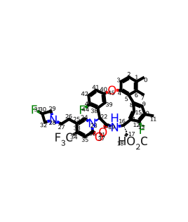 Cc1ccc2c(c1C)-c1cc(C)c(F)c(c1)[C@H](CC(=O)O)NC(=O)[C@@H](n1cc(CCN3CC(F)C3)c(C(F)(F)F)cc1=O)c1cc(ccc1F)O2